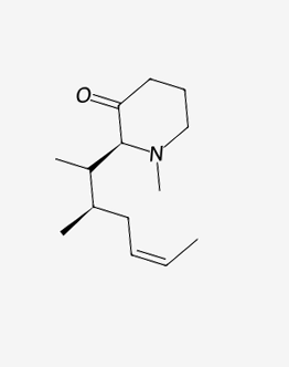 C/C=C\C[C@@H](C)C(C)[C@H]1C(=O)CCCN1C